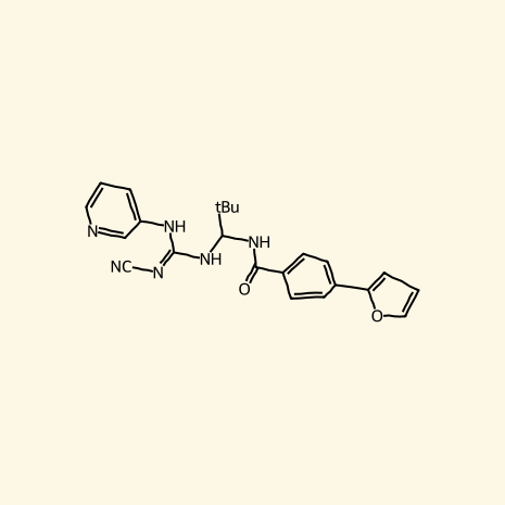 CC(C)(C)C(NC(=O)c1ccc(-c2ccco2)cc1)N/C(=N/C#N)Nc1cccnc1